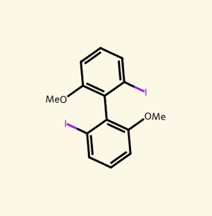 COc1cccc(I)c1-c1c(I)cccc1OC